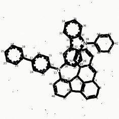 C1=CC2=CC3CC=CC4=C3C(C3=C(N(c5ccc(-c6ccccc6)cc5)c5ccc6c(c5)c5ccccc5n6C5=CCCC=C5)C=CCC43)C2C=C1